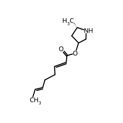 CC=CCCC=CC(=O)OC1CN[C@@H](C)C1